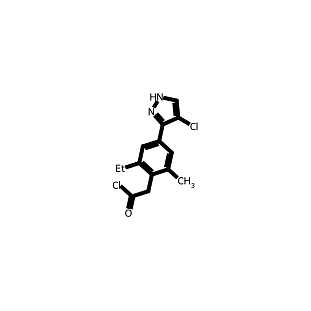 CCc1cc(-c2n[nH]cc2Cl)cc(C)c1CC(=O)Cl